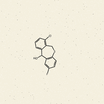 OC1c2cc(F)ccc2SCc2c(Cl)cccc21